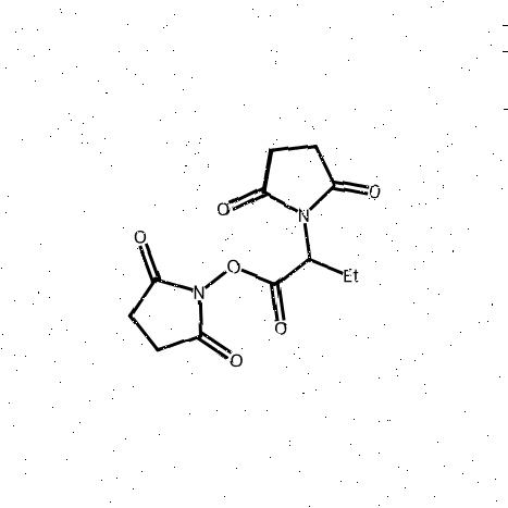 CCC(C(=O)ON1C(=O)CCC1=O)N1C(=O)CCC1=O